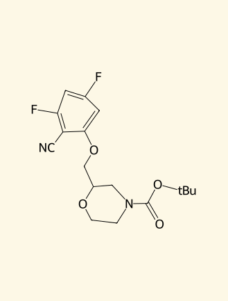 CC(C)(C)OC(=O)N1CCOC(COc2cc(F)cc(F)c2C#N)C1